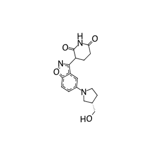 O=C1CCC(c2noc3ccc(N4CC[C@H](CO)C4)cc23)C(=O)N1